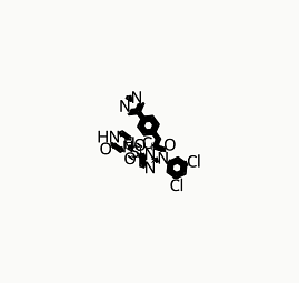 C[C@@]1(Cc2ccc(-c3cncnc3)cc2)C(=O)N(c2cc(Cl)cc(Cl)c2)c2ncc(S(=O)(=O)N3CCNC(=O)C3)n21